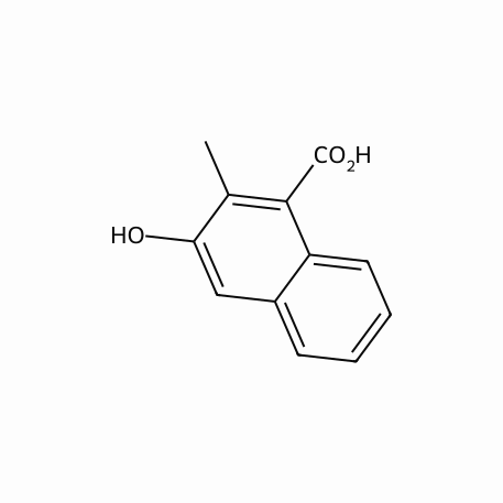 Cc1c(O)cc2ccccc2c1C(=O)O